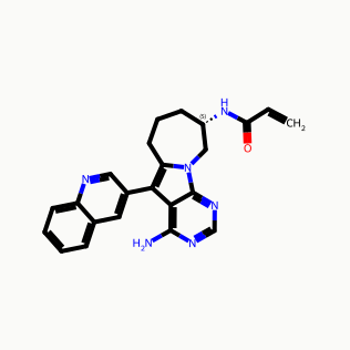 C=CC(=O)N[C@H]1CCCc2c(-c3cnc4ccccc4c3)c3c(N)ncnc3n2C1